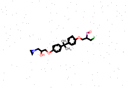 CC(C)(c1ccc(OCC(O)CN2CC2)cc1)c1ccc(OCC(CF)P=O)cc1